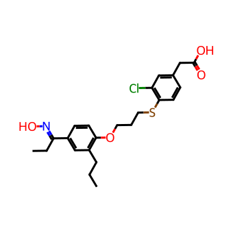 CCCc1cc(/C(CC)=N/O)ccc1OCCCSc1ccc(CC(=O)O)cc1Cl